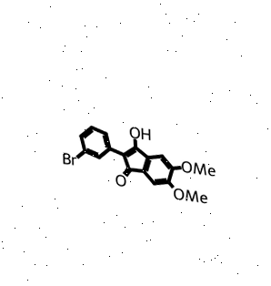 COc1cc2c(cc1OC)C(O)=C(c1cccc(Br)c1)C2=O